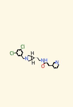 O=C(/C=C/c1cccnc1)NCC[C@@H]1[C@H]2CN(Cc3cc(Cl)cc(Cl)c3)C[C@@H]12